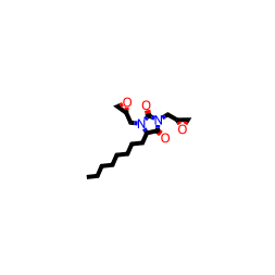 CCCCCCCCC1C(=O)N(CC2CO2)C(=O)N1CC1CO1